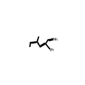 C/C=C(C)\C=C(/C=N)C(C)C